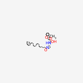 CC/C=C\C/C=C\C/C=C\C/C=C\C/C=C\CCCC(=O)N1CC[C@@H](CNC(O)C2=CC(=O)C(C)(c3ccccc3)O2)C1